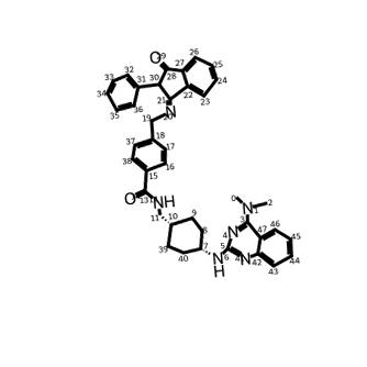 CN(C)c1nc(N[C@H]2CC[C@@H](CNC(=O)c3ccc(C/N=C4/c5ccccc5C(=O)C4c4ccccc4)cc3)CC2)nc2ccccc12